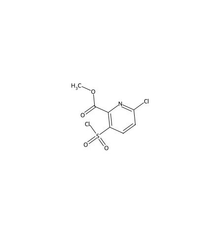 COC(=O)c1nc(Cl)ccc1S(=O)(=O)Cl